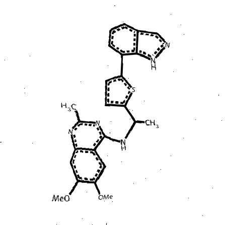 COc1cc2nc(C)nc(NC(C)c3ccc(-c4cccc5cn[nH]c45)s3)c2cc1OC